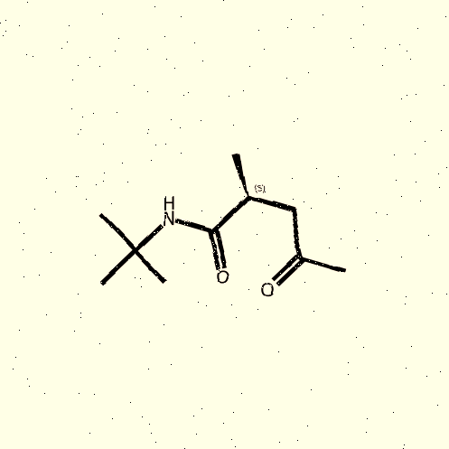 CC(=O)C[C@H](C)C(=O)NC(C)(C)C